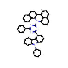 c1ccc(-c2nc(-c3cccc4c3c3ccccc3n4-c3ccccc3)nc(N3c4c(ccc5ccccc45)-c4cccc5cccc3c45)n2)cc1